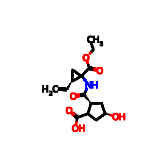 C=C[C@@H]1C[C@]1(NC(=O)[C@@H]1C[C@H](O)CC1C(=O)O)C(=O)OCC